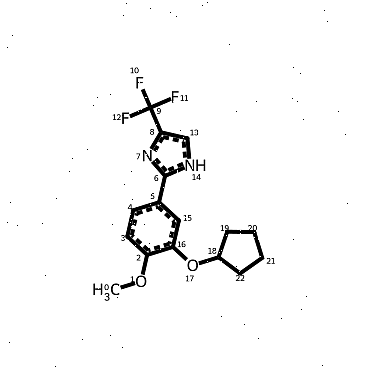 COc1ccc(-c2nc(C(F)(F)F)c[nH]2)cc1OC1CCCC1